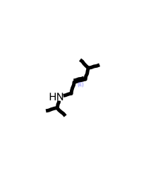 CC(C)/C=C/CNC(C)C